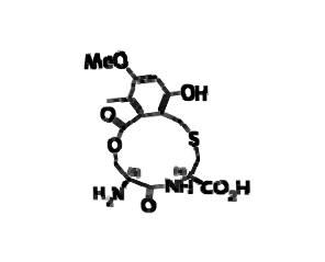 COc1cc(O)c2c(c1C)C(=O)OC[C@H](N)C(=O)N[C@H](C(=O)O)CSC2